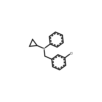 Clc1cccc(CN(c2ccccc2)C2CC2)c1